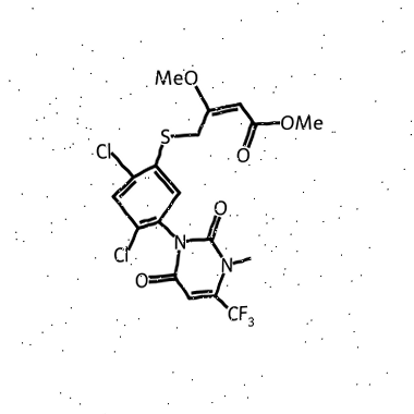 COC(=O)/C=C(\CSc1cc(-n2c(=O)cc(C(F)(F)F)n(C)c2=O)c(Cl)cc1Cl)OC